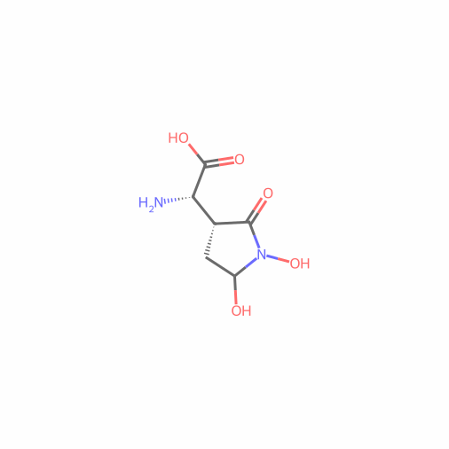 N[C@H](C(=O)O)[C@H]1CC(O)N(O)C1=O